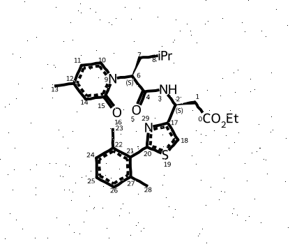 CCOC(=O)C[C@H](NC(=O)[C@H](CC(C)C)n1ccc(C)cc1=O)c1csc(-c2c(C)cccc2C)n1